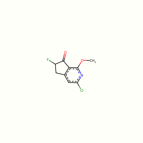 COc1nc(Cl)cc2c1C(=O)C(F)C2